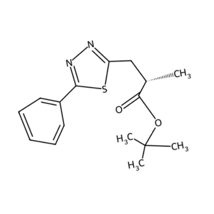 C[C@@H](Cc1nnc(-c2ccccc2)s1)C(=O)OC(C)(C)C